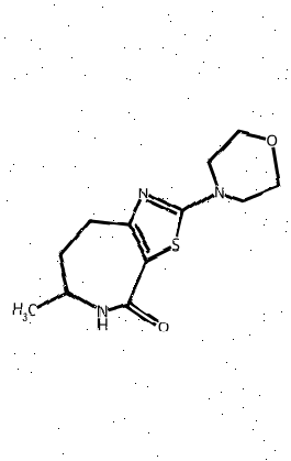 CC1CCc2nc(N3CCOCC3)sc2C(=O)N1